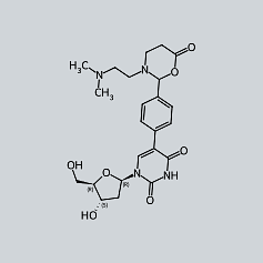 CN(C)CCN1CCC(=O)OC1c1ccc(-c2cn([C@H]3C[C@H](O)[C@@H](CO)O3)c(=O)[nH]c2=O)cc1